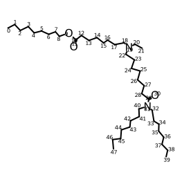 CCCCCCCCCOC(=O)CCCCCCCN(CC)CCCCCCCC(=O)N(CCCCCCCC)CCCCCCCC